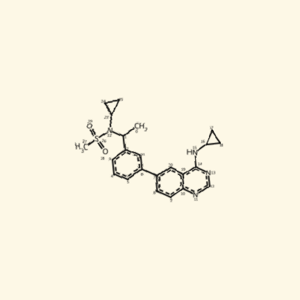 CC(c1cccc(-c2ccc3ncnc(NC4CC4)c3c2)c1)N(C1CC1)S(C)(=O)=O